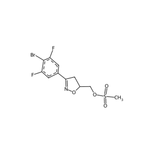 CS(=O)(=O)OCC1CC(c2cc(F)c(Br)c(F)c2)=NO1